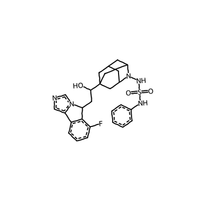 O=S(=O)(Nc1ccccc1)NN1C2CC3CC1CC(C(O)CC1c4c(F)cccc4-c4cncn41)(C3)C2